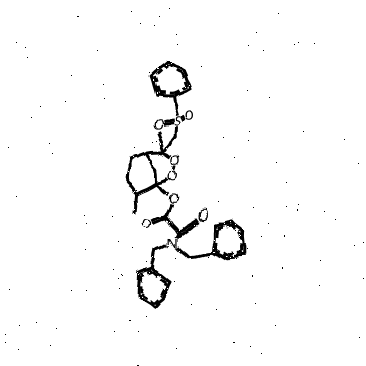 CC1CCC2CC1(OC(=O)C(=O)N(Cc1ccccc1)Cc1ccccc1)OOC2(C)CS(=O)(=O)c1ccccc1